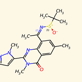 C/C(=N/[S@+]([O-])C(C)(C)C)c1cc(C)cc2c(=O)n(C)c(-c3ccnn3C)nc12